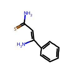 NC(=S)/C=C(\N)c1ccccc1